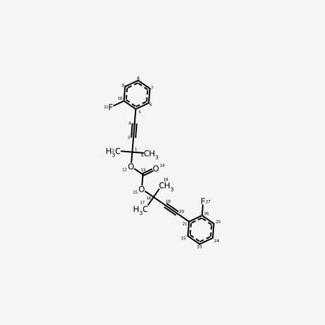 CC(C)(C#Cc1ccccc1F)OC(=O)OC(C)(C)C#Cc1ccccc1F